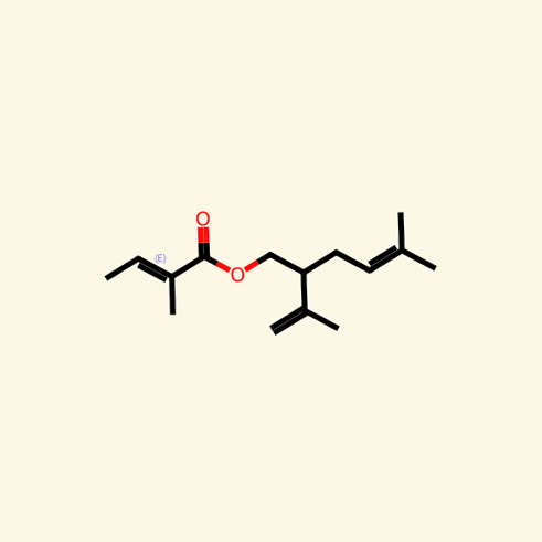 C=C(C)C(CC=C(C)C)COC(=O)/C(C)=C/C